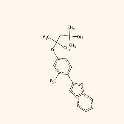 CC(C)(O)CC(C)(C)Oc1ccc(-c2cc3ccccc3o2)c(C(F)(F)F)c1